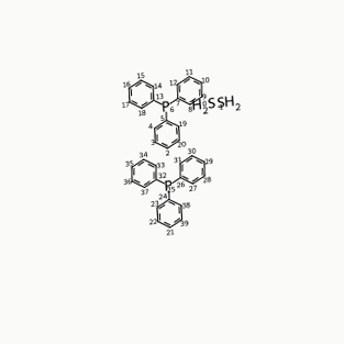 S.S.c1ccc(P(c2ccccc2)c2ccccc2)cc1.c1ccc(P(c2ccccc2)c2ccccc2)cc1